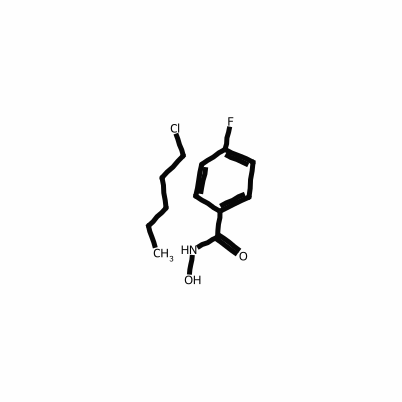 CCCCCCl.O=C(NO)c1ccc(F)cc1